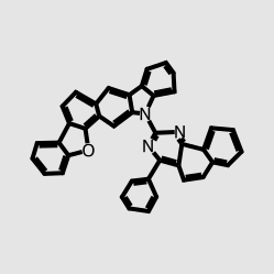 c1ccc(-c2nc(-n3c4ccccc4c4cc5ccc6c7ccccc7oc6c5cc43)nc3c2ccc2ccccc23)cc1